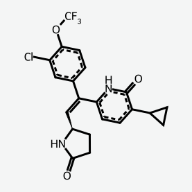 O=C1CC[C@H](C=C(c2ccc(OC(F)(F)F)c(Cl)c2)c2ccc(C3CC3)c(=O)[nH]2)N1